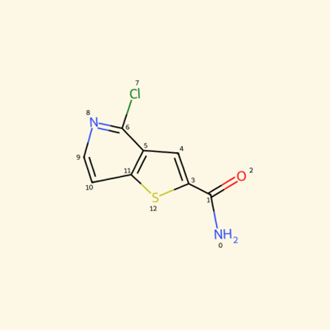 NC(=O)c1cc2c(Cl)nccc2s1